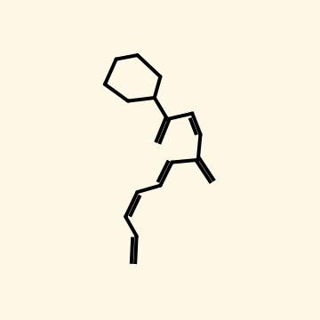 C=C/C=C\C=C\C(=C)/C=C\C(=C)C1CCCCC1